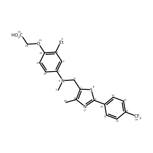 CCc1cc(N(C)Cc2sc(-c3ccc(C(F)(F)F)cc3)nc2C)ccc1OCC(=O)O